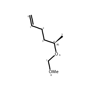 C=CCC[C@@H](C)OCOC